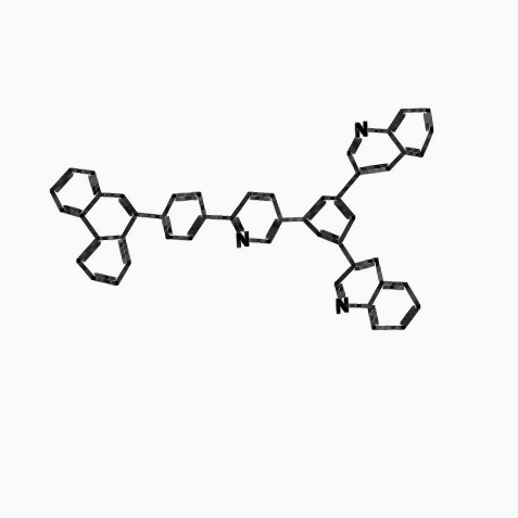 c1ccc2ncc(-c3cc(-c4ccc(-c5ccc(-c6cc7ccccc7c7ccccc67)cc5)nc4)cc(-c4cnc5ccccc5c4)c3)cc2c1